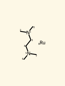 CN(C)CCN(C)C.[Ru]